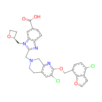 O=C(O)c1ccc2nc(CN3CCc4cc(Cl)c(OCc5ccc(Cl)c6ccoc56)nc4C3)n(C[C@@H]3CCO3)c2c1